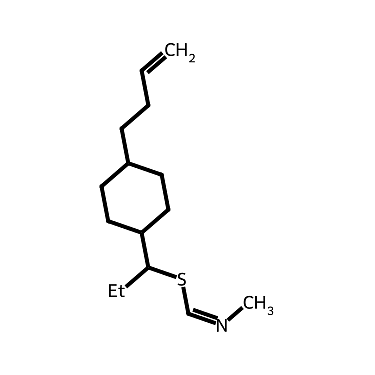 C=CCCC1CCC(C(CC)S/C=N\C)CC1